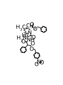 CC1(C)S[C@H]2N(C(=O)[C@@]2(N)NC(=O)C(C(=O)OCc2ccc([N+](=O)[O-])cc2)c2ccccc2)[C@H]1C(=O)OCc1ccccc1